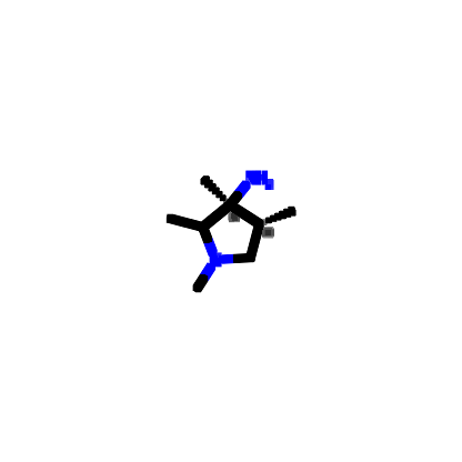 CC1N(C)C[C@@H](C)[C@]1(C)N